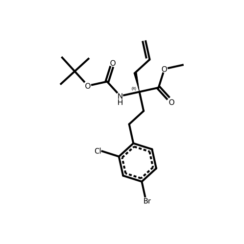 C=CC[C@@](CCc1ccc(Br)cc1Cl)(NC(=O)OC(C)(C)C)C(=O)OC